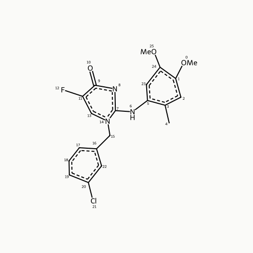 COc1cc(C)c(Nc2nc(=O)c(F)cn2Cc2cccc(Cl)c2)cc1OC